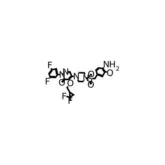 COc1cc(CS(=O)(=O)N2CCN(c3cnn(-c4cc(F)cc(F)c4)c(=O)c3OCC3CC3(F)F)CC2)ccc1N